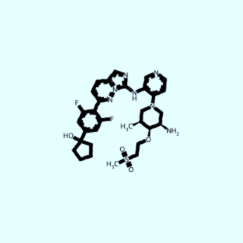 C[C@H]1CN(c2ccncc2Nc2ncc3ccc(-c4c(F)cc(C5(O)CCCC5)cc4F)nn23)C[C@@H](N)[C@H]1OCCS(C)(=O)=O